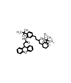 CC(C)(C)c1ccc(CCC(CC2CCCCC2)O[Si](C)(C)C(C)(C)C)cc1NC(=O)CC1c2ccccc2Oc2ccccc21